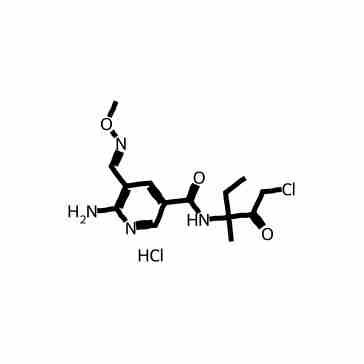 CCC(C)(NC(=O)c1cnc(N)c(C=NOC)c1)C(=O)CCl.Cl